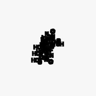 CC(C)(C)c1nn(-c2nc(O)nc(-n3nc(C(C)(C)C)c(N=Nc4c(C#N)c(-c5ccccc5)nn4-c4cc(C(=O)O)cc(C(=O)O)c4)c3N)n2)c(N)c1N=Nc1c(C#N)c(-c2ccccc2)nn1-c1cc(C(=O)O)cc(C(=O)O)c1